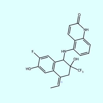 C/C=C1/CC(O)(C(F)(F)F)C(Nc2cccc3[nH]c(=O)ccc23)c2cc(F)c(O)cc21